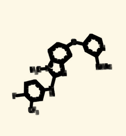 CC(=O)Nc1cc(Oc2ccc3c(c2)nc(Nc2ccc(F)c(C(F)(F)F)c2)n3C)ccn1